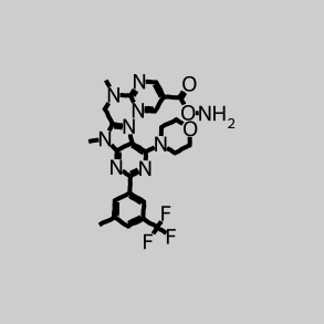 Cc1cc(-c2nc(N3CCOCC3)c3nc(CN(C)c4ncc(C(=O)ON)cn4)n(C)c3n2)cc(C(F)(F)F)c1